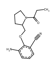 CCC(=O)N1CCCC1COc1c(N)cccc1C#N